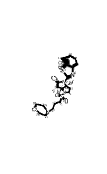 C[C@@H]1C(=O)N(c2nc3ccccc3s2)[C@H]2CCN(S(=O)(=O)CCCN3CCOCC3)[C@H]12